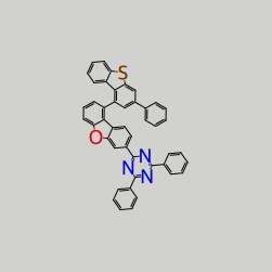 c1ccc(-c2cc(-c3cccc4oc5cc(-c6nc(-c7ccccc7)nc(-c7ccccc7)n6)ccc5c34)c3c(c2)sc2ccccc23)cc1